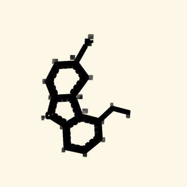 CCc1cccc2oc3ccc(Br)cc3c12